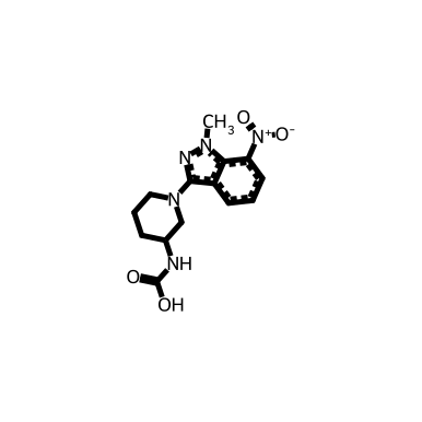 Cn1nc(N2CCCC(NC(=O)O)C2)c2cccc([N+](=O)[O-])c21